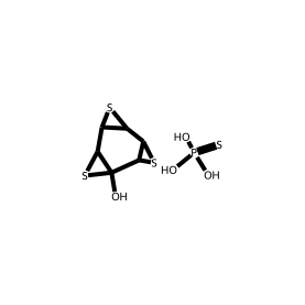 OC12SC1C1SC1C1SC12.OP(O)(O)=S